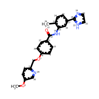 COc1ccc(COc2ccc(C(=O)Nc3cc(-c4ncc[nH]4)ccc3C)cc2)nc1